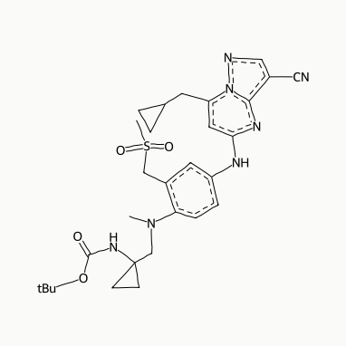 CN(CC1(NC(=O)OC(C)(C)C)CC1)c1ccc(Nc2cc(CC3CC3)n3ncc(C#N)c3n2)cc1CS(C)(=O)=O